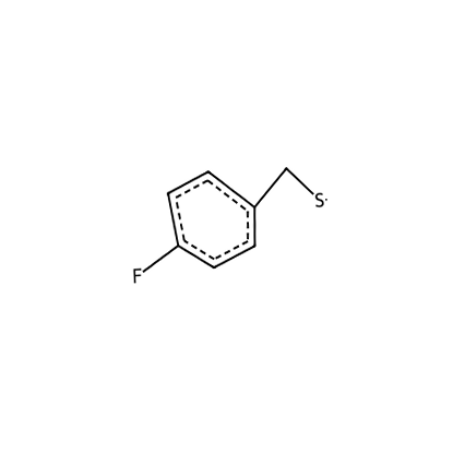 Fc1ccc(C[S])cc1